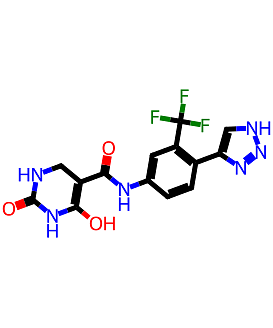 O=C1NCC(C(=O)Nc2ccc(-c3c[nH]nn3)c(C(F)(F)F)c2)=C(O)N1